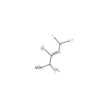 CC/C(=C\C(I)I)C(C)NC